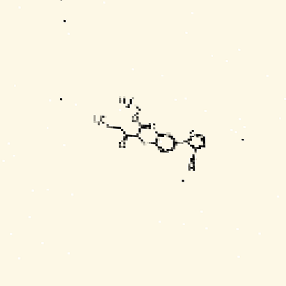 CCCC(=O)C(Cc1ccc(-c2sccc2C#N)cc1)C(=O)OCC